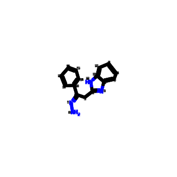 N/N=C(\Cc1nc2ccccc2[nH]1)c1ccccc1